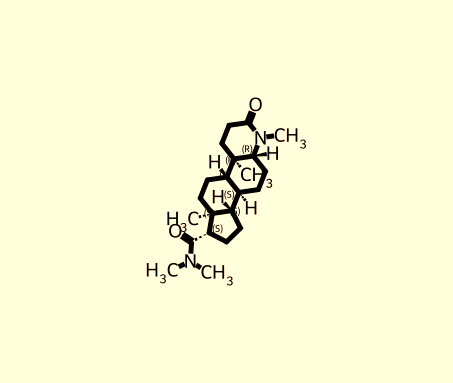 CN(C)C(=O)[C@H]1CC[C@H]2[C@@H]3CC[C@H]4N(C)C(=O)CC[C@]4(C)[C@H]3CC[C@]12C